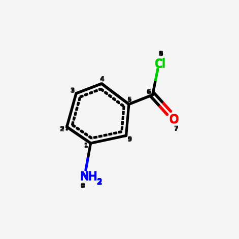 Nc1[c]ccc(C(=O)Cl)c1